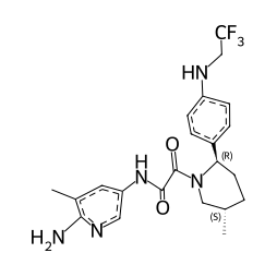 Cc1cc(NC(=O)C(=O)N2C[C@@H](C)CC[C@@H]2c2ccc(NCC(F)(F)F)cc2)cnc1N